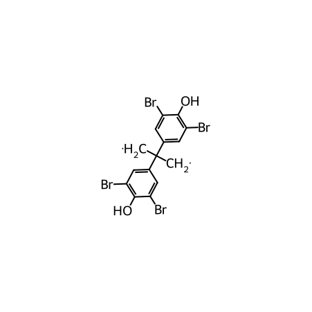 [CH2]C([CH2])(c1cc(Br)c(O)c(Br)c1)c1cc(Br)c(O)c(Br)c1